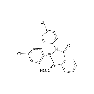 O=C(O)[C@@H]1c2ccccc2C(=O)N(c2ccc(Cl)cc2)[C@H]1c1ccc(Cl)cc1